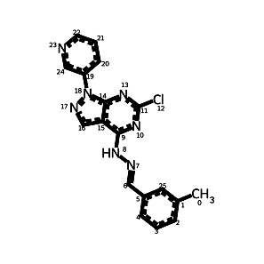 Cc1cccc(C=NNc2nc(Cl)nc3c2cnn3-c2cccnc2)c1